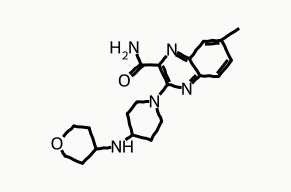 Cc1ccc2nc(N3CCC(NC4CCOCC4)CC3)c(C(N)=O)nc2c1